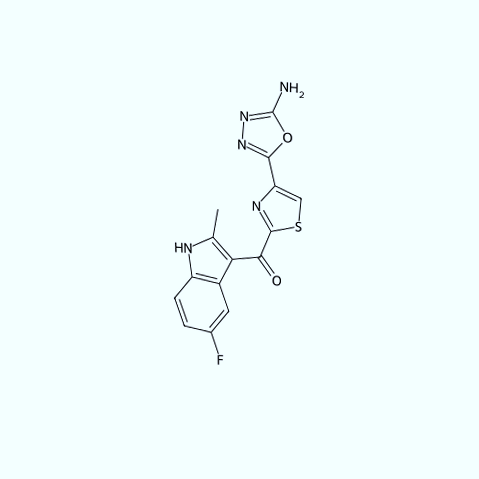 Cc1[nH]c2ccc(F)cc2c1C(=O)c1nc(-c2nnc(N)o2)cs1